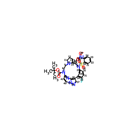 CC(C)(C)OC(=O)N1CCN2CCC[C@H]2CN(S(=O)(=O)c2ccccc2[N+](=O)[O-])c2ccc(F)c(c2)-c2cnn3ccc1nc23